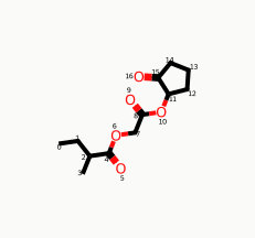 CCC(C)C(=O)OCC(=O)OC1CCCC1=O